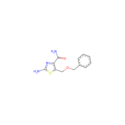 NC(=O)c1nc(N)sc1COCc1ccccc1